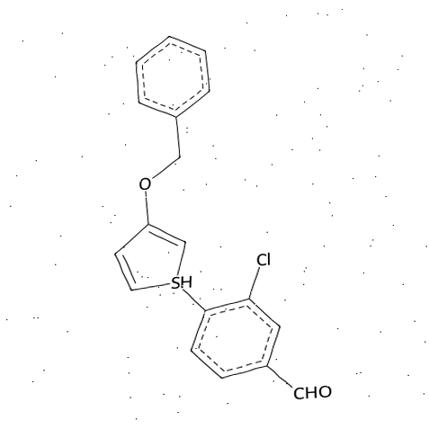 O=Cc1ccc([SH]2C=CC(OCc3ccccc3)=C2)c(Cl)c1